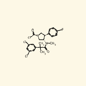 CN(C(=O)C(C)(C)c1cc(Cl)cc(Cl)c1)[C@@H]1CN(C(=O)Cl)C[C@H]1c1ccc(F)cc1